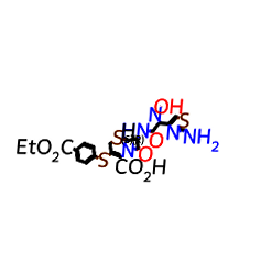 CCOC(=O)c1ccc(SC2=C(C(=O)O)N3C(=O)[C@@H](NC(=O)C(=NO)c4csc(N)n4)[C@@H]3SC2)cc1